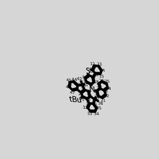 CC(C)(C)c1c2c(c(N(c3ccc4sc5ccccc5c4c3)c3cccc4ccccc34)c3c1-c1ccccc1C3(C)C)C(C)(C)c1ccccc1-2